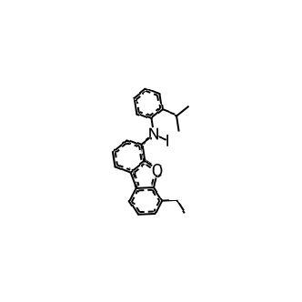 CCc1cccc2c1oc1c(N(I)c3ccccc3C(C)C)cccc12